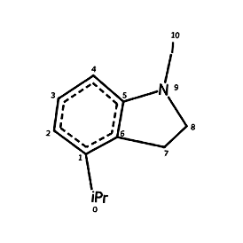 CC(C)c1cccc2c1CCN2I